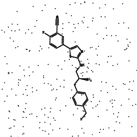 N#Cc1cc(-c2cnc(NC[C@@H](N)Cc3ccc(CF)cc3)s2)ccc1F